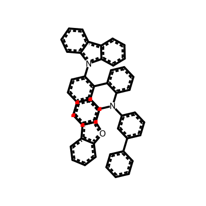 c1ccc(-c2cccc(N(c3ccccc3-c3c(-n4c5ccccc5c5ccccc54)ccc4ccccc34)c3cccc4c3oc3ccccc34)c2)cc1